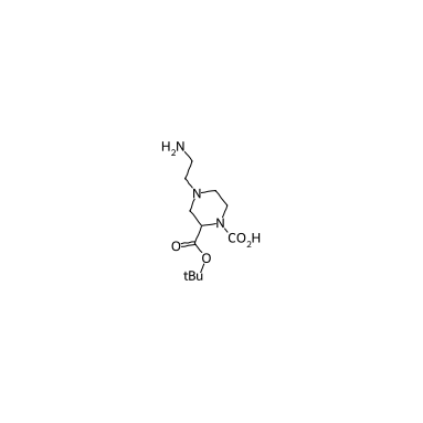 CC(C)(C)OC(=O)C1CN(CCN)CCN1C(=O)O